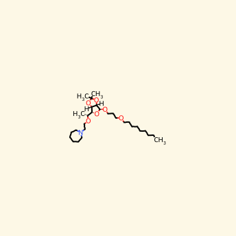 CCCCCCCCCOCCCO[C@H]1O[C@H]([C@@H](C)OCCN2CCCCCC2)[C@@H]2OC(C)(C)O[C@H]12